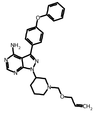 C=CCOCN1CCCC(n2nc(-c3ccc(Oc4ccccc4)cc3)c3c(N)ncnc32)C1